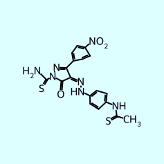 CC(=S)Nc1ccc(N/N=C2\C(=O)N(C(N)=S)N=C2c2ccc([N+](=O)[O-])cc2)cc1